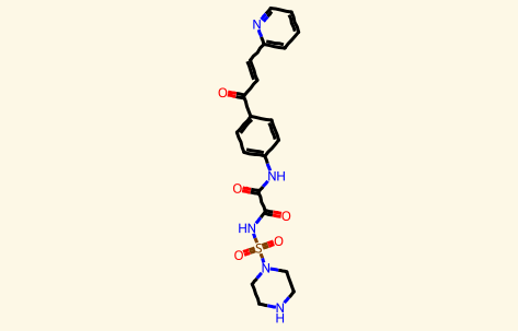 O=C(Nc1ccc(C(=O)C=Cc2ccccn2)cc1)C(=O)NS(=O)(=O)N1CCNCC1